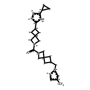 O=C(N1CC2(CC(Cn3cc(C(F)(F)F)cn3)C2)C1)N1CC2(CC(c3nnc(C4CC4)[nH]3)C2)C1